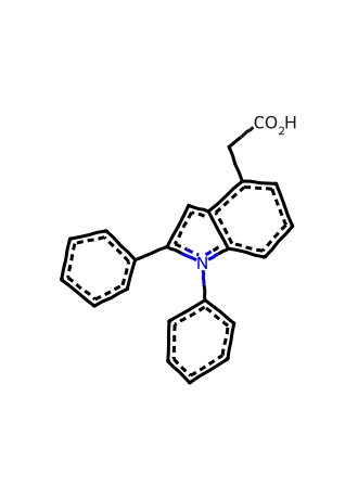 O=C(O)Cc1cccc2c1cc(-c1ccccc1)n2-c1ccccc1